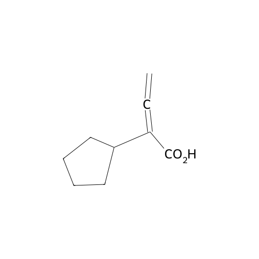 C=C=C(C(=O)O)C1CCCC1